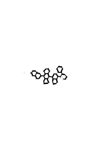 Cc1ccc2cc(-c3c4ccccc4c(-c4ccc(-c5ncccc5-c5ccccc5)c5ccccc45)c4ccccc34)ccc2c1